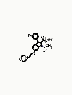 CC(C)NC(=O)C1=C(c2cccc(F)c2)c2ccc(OCCN3CCOCC3)cc2/C1=[N+](/C)[O-]